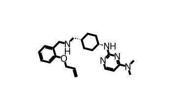 C=CCOc1ccccc1CNC[C@H]1CC[C@@H](Nc2nccc(N(C)C)n2)CC1